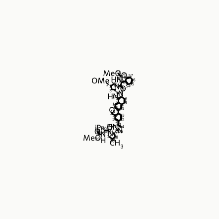 COC[C@H]1C[C@@H](c2nc3ccc4cc5c(cc4c3[nH]2)OCC2C=C(c3cnc([C@@H]4C[C@H](C)CN4C(=O)[C@@H](NC(=O)OC)C(C)C)[nH]3)C=CC52)N(C(=O)[C@H](NC(=O)OC)c2ccccc2)C1